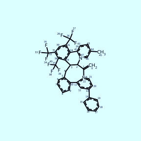 C=C1C2C(Cc3ccccc3-c3cc(-c4ccccc4)cc[n+]31)c1c(c(C(F)(F)F)cc(C(F)(F)F)c1C(F)(F)F)-c1ccc(C)c[n+]12